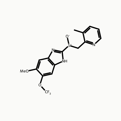 COc1cc2nc([S+]([O-])Cc3ncccc3C)[nH]c2cc1OC(F)(F)F